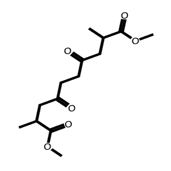 COC(=O)C(C)CC(=O)CCC(=O)CC(C)C(=O)OC